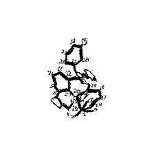 CC(C)(C)[P@]1(=O)COc2cccc(P(=O)(c3ccccc3)c3ccccc3)c21